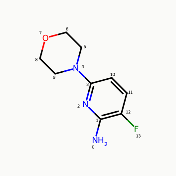 Nc1nc(N2CCOCC2)ccc1F